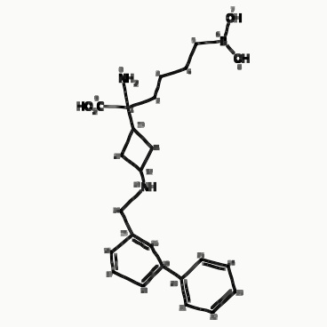 NC(CCCCB(O)O)(C(=O)O)C1CC(NCc2cccc(-c3ccccc3)c2)C1